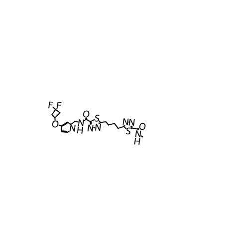 CNC(=O)c1nnc(CCCCc2nnc(C(=O)NCc3cc(OC4CC(F)(F)C4)ccn3)s2)s1